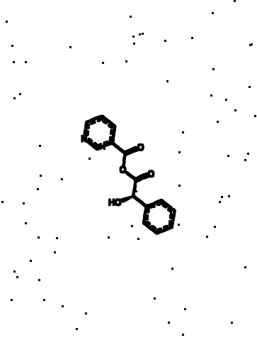 O=C(OC(=O)[C@H](O)c1ccccc1)c1cccnc1